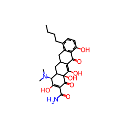 CCCCc1ccc(O)c2c1CC1CC3[C@H](N(C)C)C(O)=C(C(N)=O)C(=O)[C@@]3(O)C(O)=C1C2=O